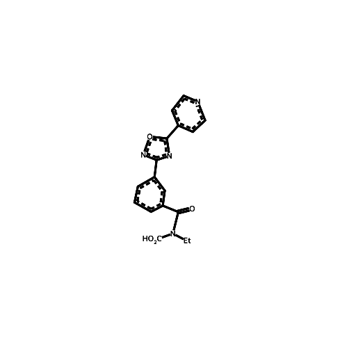 CCN(C(=O)O)C(=O)c1cccc(-c2noc(-c3ccncc3)n2)c1